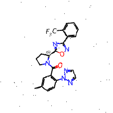 Cc1ccc(-n2nccn2)c(C(=O)N2CCC[C@H]2c2nc(-c3ccccc3C(F)(F)F)no2)c1